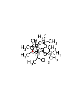 CC(C)N(C(C)C)[Si](O[Si](C)(C)C)(O[Si](C)(C)C)O[Si](C)(C)C